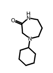 O=C1CN(C2CCCCC2)CCCN1